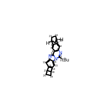 CC(C)(C)c1nc2cc3c(cc2c2nc4cc5c(cc4n12)C1CCC51)[C@@H]1CC[C@H]3C1